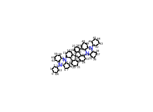 c1ccc(N2c3ccccc3N(c3cccc4c3-c3ccccc3C43c4ccccc4-c4c(N5c6ccccc6N(c6ccccc6)c6ccccc65)cccc43)c3ccccc32)cc1